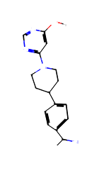 CC(C)Oc1cc(N2CCC(c3ccc(C(C)N)cc3)CC2)ncn1